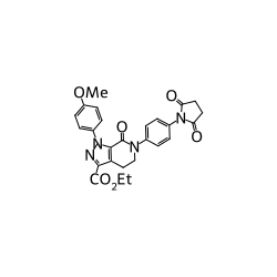 CCOC(=O)c1nn(-c2ccc(OC)cc2)c2c1CCN(c1ccc(N3C(=O)CCC3=O)cc1)C2=O